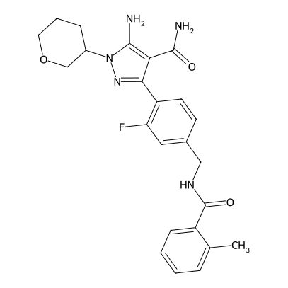 Cc1ccccc1C(=O)NCc1ccc(-c2nn(C3CCCOC3)c(N)c2C(N)=O)c(F)c1